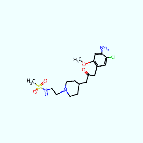 COc1cc(N)c(Cl)cc1CC(=O)CC1CCN(CCNS(C)(=O)=O)CC1